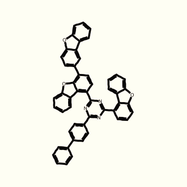 c1ccc(-c2ccc(-c3nc(-c4cccc5oc6ccccc6c45)nc(-c4ccc(-c5ccc6oc7ccccc7c6c5)c5oc6ccccc6c45)n3)cc2)cc1